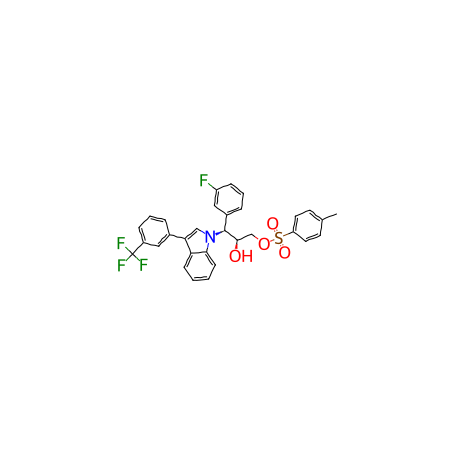 Cc1ccc(S(=O)(=O)OC[C@@H](O)[C@H](c2cccc(F)c2)n2cc(-c3cccc(C(F)(F)F)c3)c3ccccc32)cc1